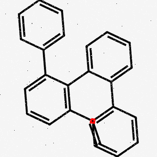 C=Cc1cccc(-c2ccccc2)c1-c1ccccc1-c1ccccc1